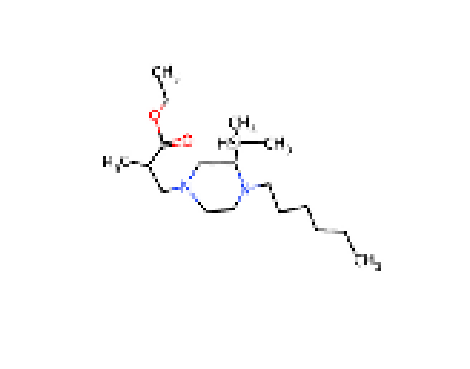 CCCCCCN1CCN(CC(C)C(=O)OCC)CC1[SiH](C)C